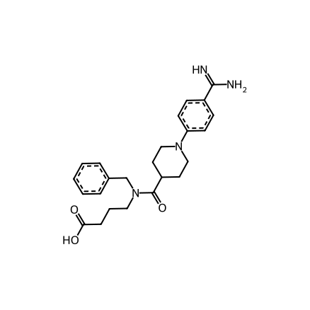 N=C(N)c1ccc(N2CCC(C(=O)N(CCCC(=O)O)Cc3ccccc3)CC2)cc1